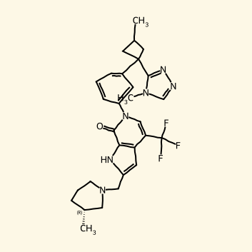 CC1CC(c2cccc(-n3cc(C(F)(F)F)c4cc(CN5CCC[C@@H](C)C5)[nH]c4c3=O)c2)(c2nncn2C)C1